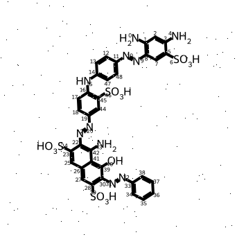 Nc1cc(N)c(S(=O)(=O)O)cc1N=Nc1ccc(Nc2ccc(N=Nc3c(S(=O)(=O)O)cc4cc(S(=O)(=O)O)c(N=Nc5ccccc5)c(O)c4c3N)cc2S(=O)(=O)O)cc1